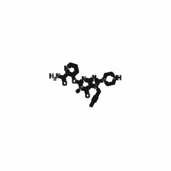 CC#CCn1c(N2CCNCC2)nc2nc(Oc3cccnc3C(N)=O)n(C)c(=O)c21